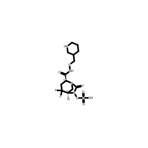 O=C(NOCC1CCCNC1)[C@@H]1CC(F)(F)[C@H]2CN1C(=O)N2OS(=O)(=O)O